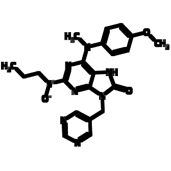 CCC[S+]([O-])c1nc(N(C)c2ccc(OC)cc2)c2[nH]c(=O)n(Cc3cncnc3)c2n1